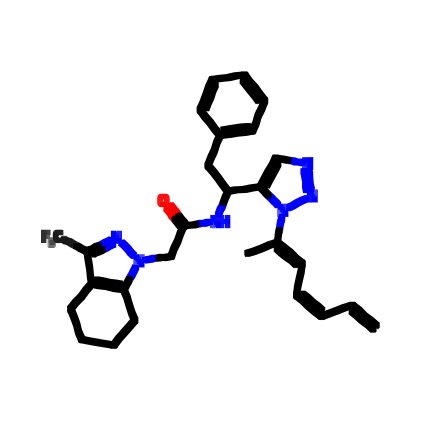 C=C/C=C\C=C(/C)n1nncc1C(Cc1ccccc1)NC(=O)Cn1nc(C(F)(F)F)c2c1CCCC2